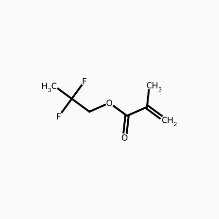 C=C(C)C(=O)OCC(C)(F)F